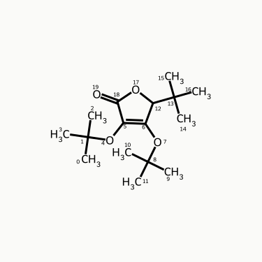 CC(C)(C)OC1=C(OC(C)(C)C)C(C(C)(C)C)OC1=O